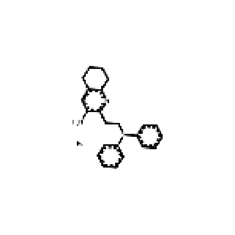 Nc1cc2c(nc1CCP(c1ccccc1)c1ccccc1)CCCC2.[Ru]